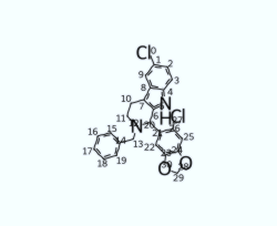 Clc1ccc2[nH]c3c(c2c1)CCN(Cc1ccccc1)C3c1cc2c(cc1Cl)OCO2